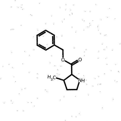 CC1CCNC1C(=O)OCc1ccccc1